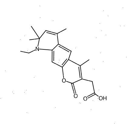 CCN1c2cc3oc(=O)c(CC(=O)O)c(C)c3cc2C(C)=CC1(C)C